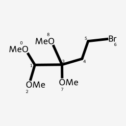 COC(OC)C(CCBr)(OC)OC